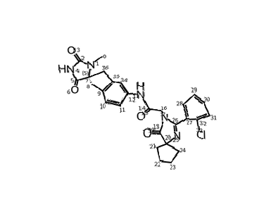 CN1C(=O)NC(=O)[C@@]12Cc1ccc(NC(=O)CN3C(=O)C4(CCCC4)N=C3c3ccccc3Cl)cc1C2